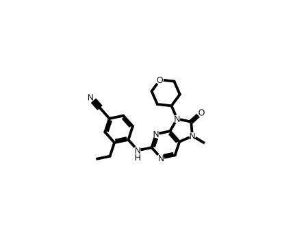 CCc1cc(C#N)ccc1Nc1ncc2c(n1)n(C1CCOCC1)c(=O)n2C